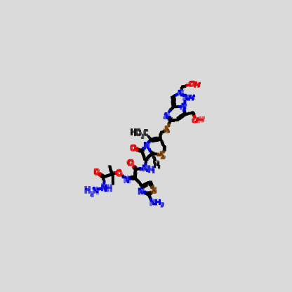 CC(C)(O/N=C(\C(=O)NC1C(=O)N2C(C(=O)O)=C(CSC3=NC4=CN(CO)NN4C(CO)=C3)CS[C@H]12)c1csc(N)n1)C(=O)NN